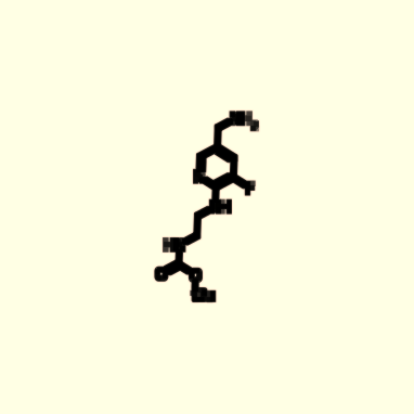 CC(C)(C)OC(=O)NCCNc1ncc(CN)cc1F